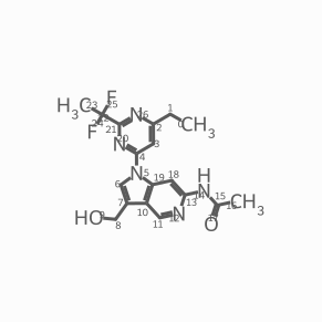 CCc1cc(-n2cc(CO)c3cnc(NC(C)=O)cc32)nc(C(C)(F)F)n1